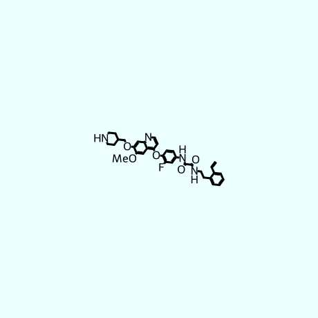 C=Cc1ccccc1CCNC(=O)C(=O)Nc1ccc(Oc2ccnc3cc(OCC4CCNCC4)c(OC)cc23)c(F)c1